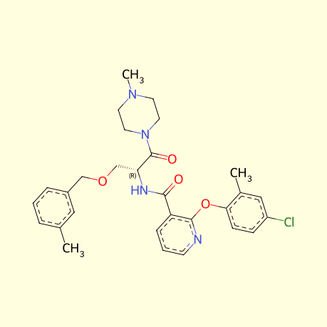 Cc1cccc(COC[C@@H](NC(=O)c2cccnc2Oc2ccc(Cl)cc2C)C(=O)N2CCN(C)CC2)c1